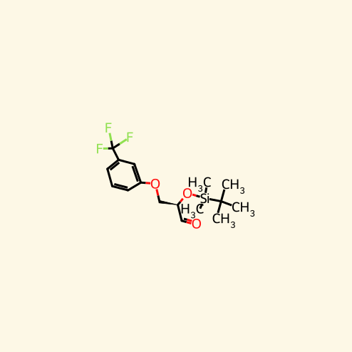 CC(C)(C)[Si](C)(C)O[C@@H](C=O)COc1cccc(C(F)(F)F)c1